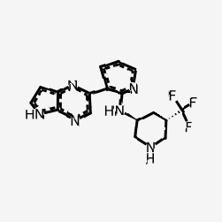 FC(F)(F)[C@@H]1CNC[C@@H](Nc2ncccc2-c2cnc3[nH]ccc3n2)C1